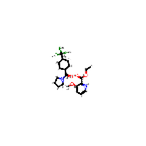 CCOC(=O)c1ncccc1OC[C@@H]1CCCN1C(=O)C1CCC(C(F)(F)F)CC1